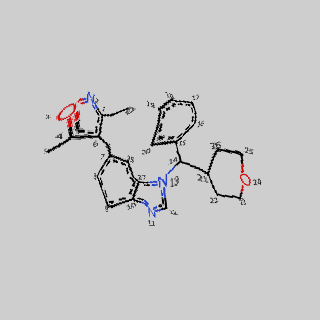 Cc1noc(C)c1-c1ccc2ncn(C(c3ccccc3)C3CCOCC3)c2c1